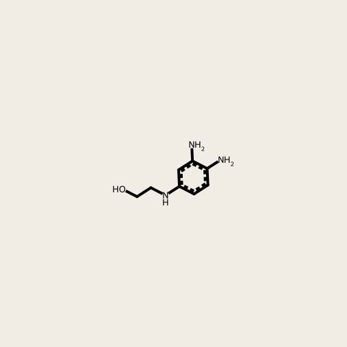 Nc1ccc(NCCO)cc1N